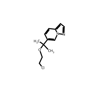 CC(C)(OCCCl)c1ccc2ccnn2c1